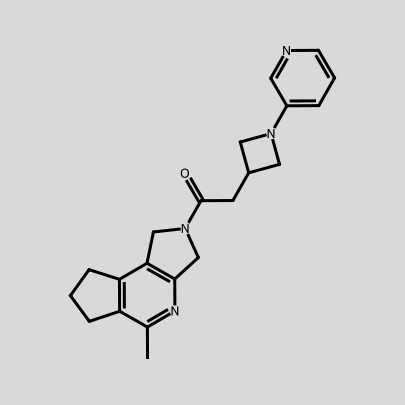 Cc1nc2c(c3c1CCC3)CN(C(=O)CC1CN(c3cccnc3)C1)C2